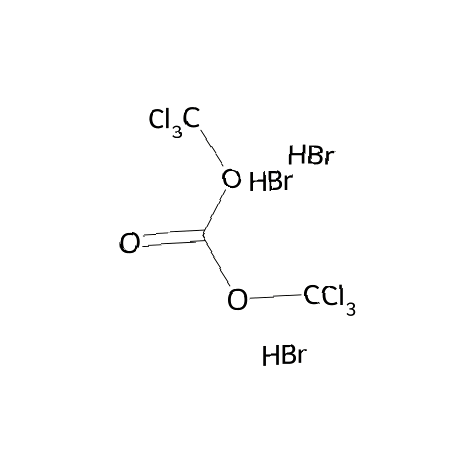 Br.Br.Br.O=C(OC(Cl)(Cl)Cl)OC(Cl)(Cl)Cl